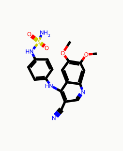 COc1cc2ncc(C#N)c(Nc3ccc(NS(N)(=O)=O)cc3)c2cc1OC